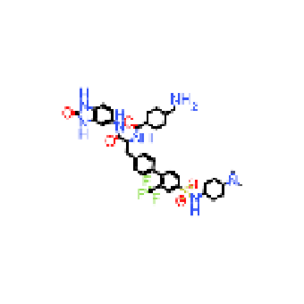 CN(C)C1CCC(NS(=O)(=O)c2ccc(-c3ccc(CC(NC(=O)C4CCC(CN)CC4)C(=O)Nc4ccc5[nH]c(=O)[nH]c5c4)cc3)c(C(F)(F)F)c2)CC1